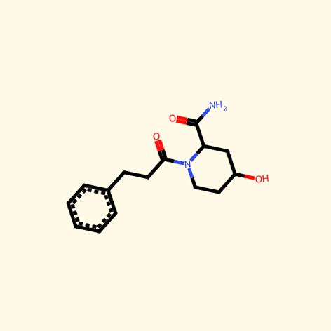 NC(=O)C1CC(O)CCN1C(=O)[CH]Cc1ccccc1